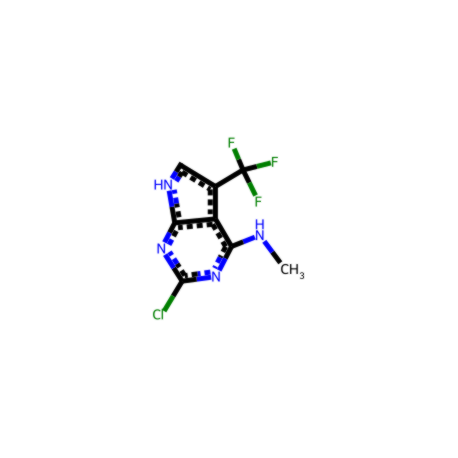 CNc1nc(Cl)nc2[nH]cc(C(F)(F)F)c12